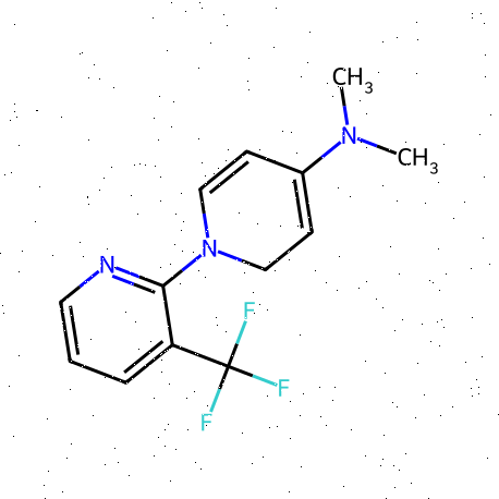 CN(C)C1=CCN(c2ncccc2C(F)(F)F)C=C1